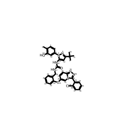 Cc1ccc(-n2nc(C(C)(C)C)cc2NC(=O)NCc2ccccc2Sc2ccc3nnc(-c4ccccc4Cl)n3c2)cc1O